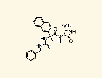 CC(=O)O[C@@H]1NC(=O)[C@H]1NC(=O)[C@](C)(NC(=O)NCc1ccccc1)c1ccc2ccccc2c1